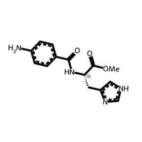 COC(=O)[C@H](Cc1c[nH]cn1)NC(=O)c1ccc(N)cc1